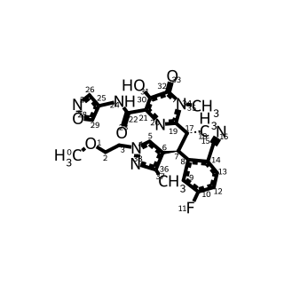 COCCn1cc([C@H](c2cc(F)ccc2C#N)[C@@H](C)c2nc(C(=O)Nc3cnoc3)c(O)c(=O)n2C)c(C)n1